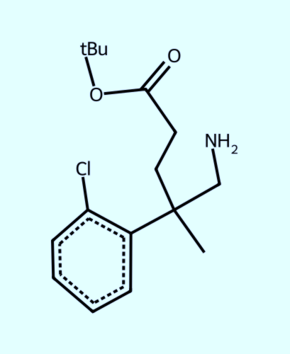 CC(C)(C)OC(=O)CCC(C)(CN)c1ccccc1Cl